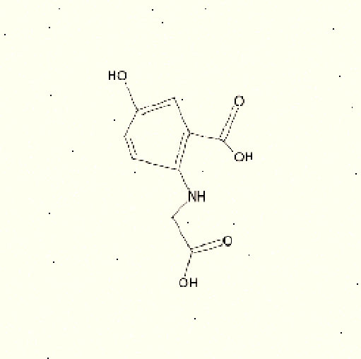 O=C(O)CNc1ccc(O)cc1C(=O)O